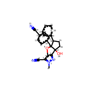 Cn1nc2c(c1C#N)OC1(c3ccc(C#N)cc3)C(c3ccccc3)CCC21O